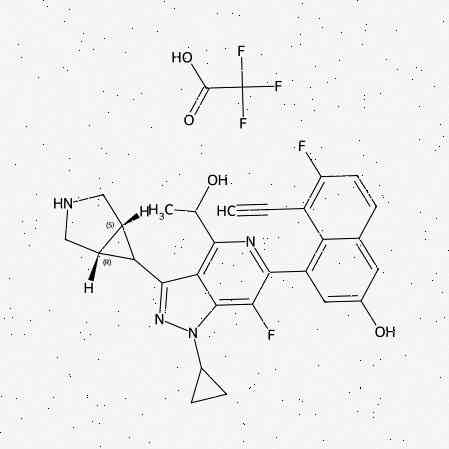 C#Cc1c(F)ccc2cc(O)cc(-c3nc(C(C)O)c4c(C5[C@H]6CNC[C@@H]56)nn(C5CC5)c4c3F)c12.O=C(O)C(F)(F)F